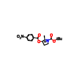 C[C@@H]1C(OC(=O)c2ccc([N+](=O)[O-])cc2)CCN1C(=O)OC(C)(C)C